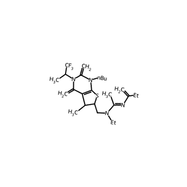 C=C(CC)/N=C(\C)N(CC)CC1SC2=C(C(=C)N(C(C)C(F)(F)F)C(=C)N2CCCC)C1C